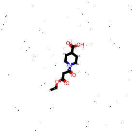 CCOC(=O)CC(=O)N1CCC(C(=O)O)CC1